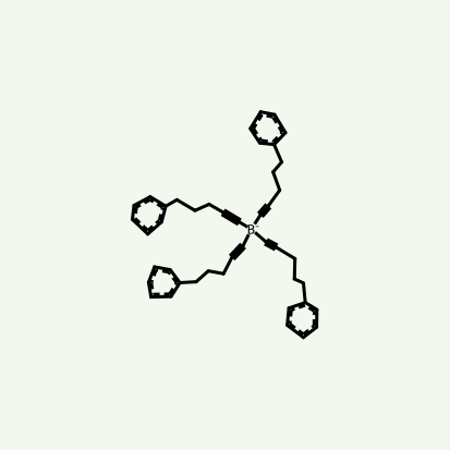 C(#C[B-](C#CCCCc1ccccc1)(C#CCCCc1ccccc1)C#CCCCc1ccccc1)CCCc1ccccc1